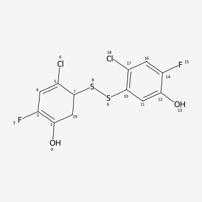 OC1=C(F)C=C(Cl)C(SSc2cc(O)c(F)cc2Cl)C1